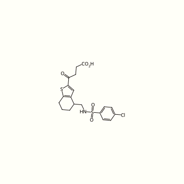 O=C(O)CCC(=O)c1cc2c(s1)CCCC2CNS(=O)(=O)c1ccc(Cl)cc1